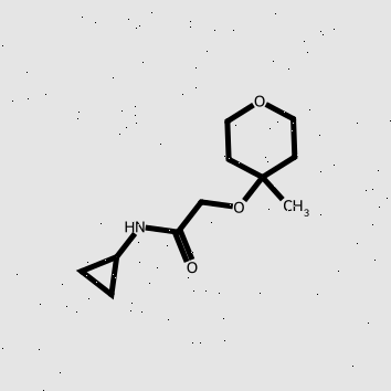 CC1(OCC(=O)NC2CC2)CCOCC1